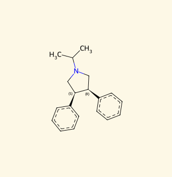 CC(C)N1C[C@H](c2ccccc2)[C@H](c2ccccc2)C1